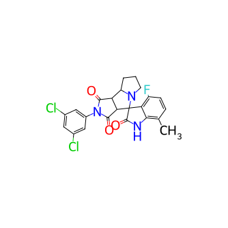 Cc1ccc(F)c2c1NC(=O)C21C2C(=O)N(c3cc(Cl)cc(Cl)c3)C(=O)C2C2CCCN21